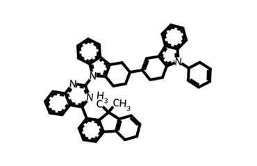 CC1(C)C2=C(CCC=C2)c2cccc(-c3nc(-n4c5c(c6ccccc64)CC(C4=Cc6c(n(C7C=CC=CC7)c7ccccc67)CC4)CC5)nc4ccccc34)c21